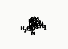 CC[C@@H](NC(=O)c1cc(C(=O)N2CCC[C@@H]2C)n2c1COC(C)(C)C2)c1ccc(C#N)cc1